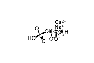 O=C([O-])O.O=C([O-])O.O=P([O-])(O)O.[Ca+2].[Na+]